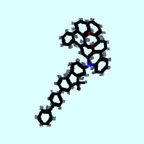 CC1(C)c2cc(-c3ccc(-c4ccccc4)cc3)ccc2-c2ccc(N(c3ccc4c5ccccc5c5ccccc5c4c3)c3ccccc3-c3ccc(-c4ccccc4)cc3)cc21